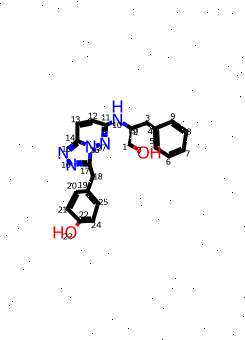 OC[C@H](Cc1ccccc1)Nc1ccc2nnc(Cc3ccc(O)cc3)n2n1